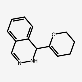 C1=NNC(C2=CCCCO2)c2ccccc21